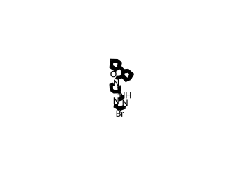 O=C(c1ccccc1-c1ccccc1)N1CCC[C@@H](Nc2ncc(Br)cn2)C1